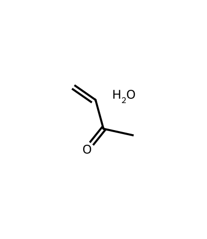 C=CC(C)=O.O